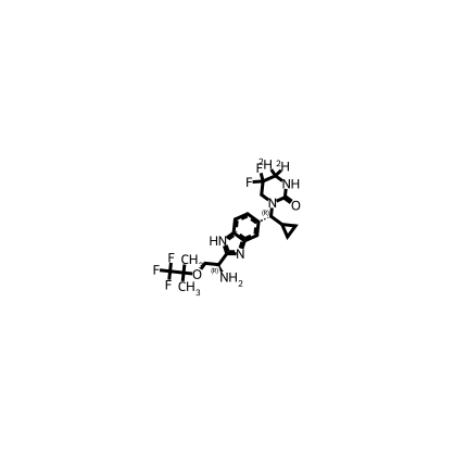 [2H]C1([2H])NC(=O)N([C@@H](c2ccc3[nH]c([C@@H](N)COC(C)(C)C(F)(F)F)nc3c2)C2CC2)CC1(F)F